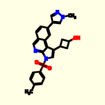 Cc1ccc(S(=O)(=O)n2cc(C3CC(O)C3)c3c4cc(-c5cnn(C)c5)ccc4cnc32)cc1